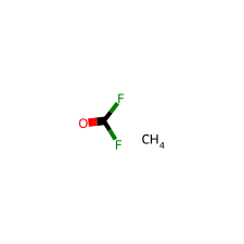 C.O=C(F)F